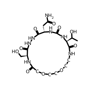 CC(O)[C@@H]1NC(=O)N[C@@H](CC(N)=O)C(=O)NNC(=O)[C@H](CO)NC(=O)COCCOCCNC1=O